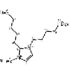 CCCCCCCCCCCCCCC1N(CCCCCC)C=CN1CCCCCCCCCCCCCC